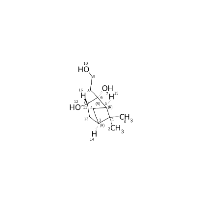 CC1(C)[C@@H]2C[C@H]1[C@](O)(CCO)[C@@H](O)C2